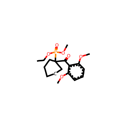 CCOP(=O)(OC)C1(C(=O)c2c(OC)cccc2OC)CCCCC1